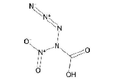 [N-]=[N+]=NN(C(=O)O)[N+](=O)[O-]